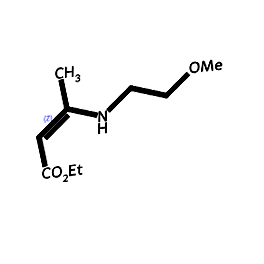 CCOC(=O)/C=C(/C)NCCOC